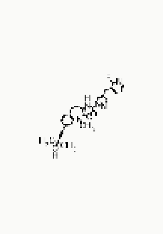 CN1C(=O)[C@@H](NC(=O)n2cc(Cc3cccnc3F)cn2)CCc2ccc(C#CC(C)(C)O)cc21